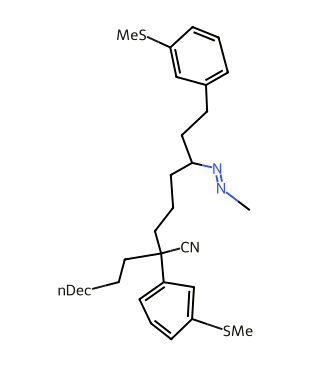 CCCCCCCCCCCCC(C#N)(CCCC(CCc1cccc(SC)c1)N=NC)c1cccc(SC)c1